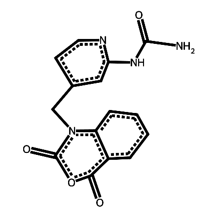 NC(=O)Nc1cc(Cn2c(=O)oc(=O)c3ccccc32)ccn1